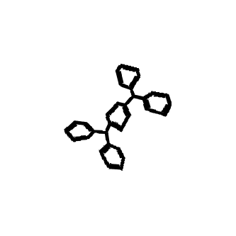 c1ccc([C](c2ccccc2)c2ccc(C(c3ccccc3)c3ccccc3)cc2)cc1